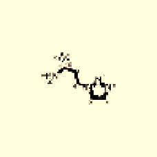 CC(=O)[C@@H](N)CCn1ccnn1